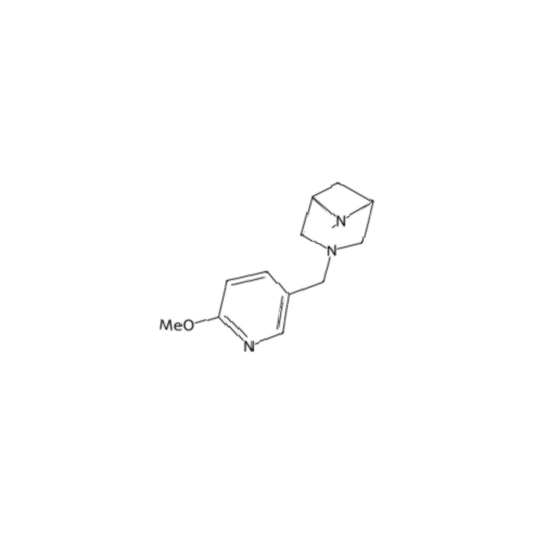 COc1ccc(CN2CC3CC(C2)N3C)cn1